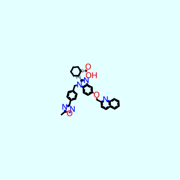 Cc1nc(-c2ccc(Cn3c([C@@H]4CCCC[C@@H]4C(=O)O)nc4cc(OCc5ccc6ccccc6n5)ccc43)cc2)no1